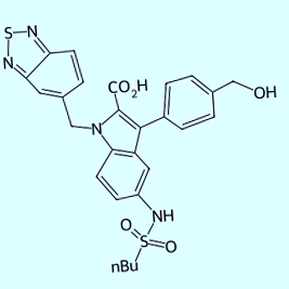 CCCCS(=O)(=O)Nc1ccc2c(c1)c(-c1ccc(CO)cc1)c(C(=O)O)n2Cc1ccc2nsnc2c1